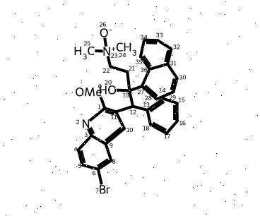 COc1nc2ccc(Br)cc2cc1C(c1ccccc1)C(O)(CC[N+](C)(C)[O-])c1cccc2ccccc12